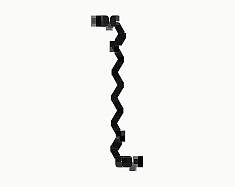 O=C(O)C=NCCCCCCN=CC(=O)O